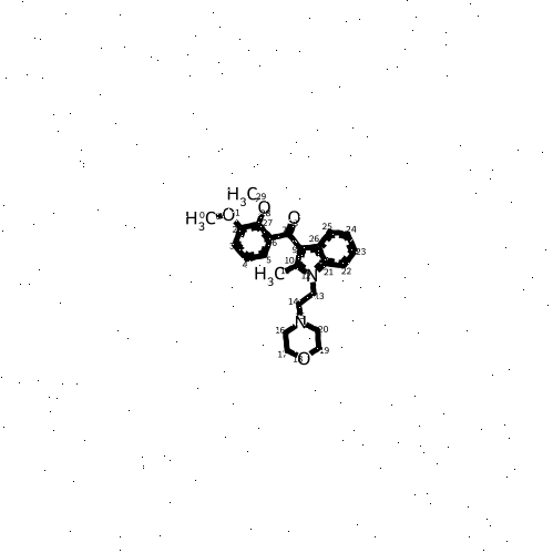 COc1cccc(C(=O)c2c(C)n(CCN3CCOCC3)c3ccccc23)c1OC